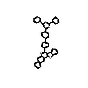 c1ccc(-c2cc(-c3ccc(-c4ccc(-c5nc6cc7ccccc7cc6c6oc7ccccc7c56)cc4)cc3)nc(-c3ccccc3)n2)cc1